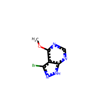 COc1ncnc2[nH]nc(Br)c12